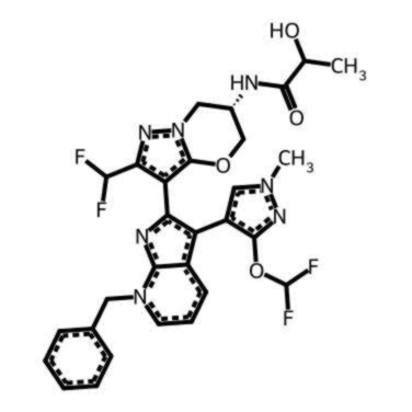 CC(O)C(=O)N[C@@H]1COc2c(-c3nc4n(Cc5ccccc5)cccc-4c3-c3cn(C)nc3OC(F)F)c(C(F)F)nn2C1